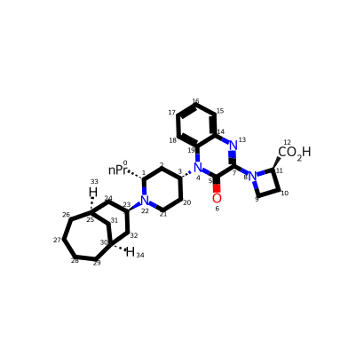 CCC[C@@H]1C[C@H](n2c(=O)c(N3CC[C@@H]3C(=O)O)nc3ccccc32)CCN1[C@@H]1C[C@@H]2CCCC[C@@H](C2)C1